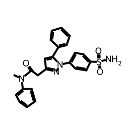 CN(C(=O)Cc1cc(-c2ccccc2)n(-c2ccc(S(N)(=O)=O)cc2)n1)c1ccccc1